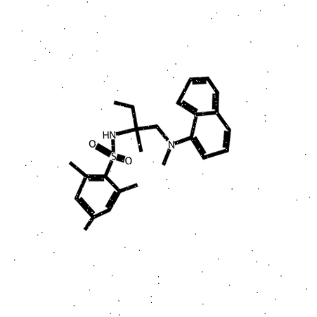 CCC(C)(CN(C)c1cccc2ccccc12)NS(=O)(=O)c1c(C)cc(C)cc1C